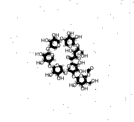 O=COC1O[C@H](OC2C(O)[C@H](O)CO[C@H]2O[C@@H]2CO[C@@H](O[C@@H]3CO[C@@H](O[C@@H]4CO[C@@H](O[C@@H]5CO[C@@H](O[C@H](CO)[C@@H](O)C(O)C=O)C(O)C5O)C(O)[C@@H]4O)C(O)C3O)C(O)[C@@H]2O)C(O)[C@@H](O)[C@@H]1CO